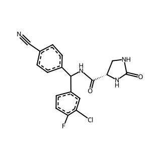 N#Cc1ccc(C(NC(=O)[C@@H]2CNC(=O)N2)c2ccc(F)c(Cl)c2)cc1